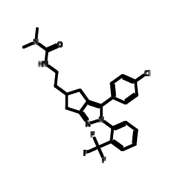 CN(C)C(=O)NCCC1Cc2nn(-c3ccccc3C(F)(F)F)c(-c3ccc(Cl)cc3)c2C1